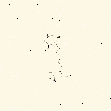 CC(CCOCCn1c(=O)[nH]c(=O)[nH]c1=O)N[SH](=O)=O